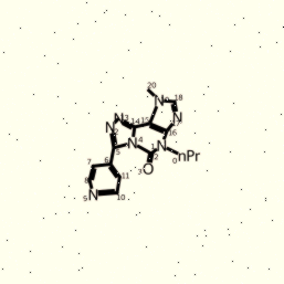 CCCn1c(=O)n2c(-c3ccncc3)nnc2c2c1ncn2C